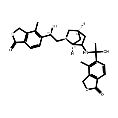 Cc1c([C@@H](O)CN2C[C@H]3CC(NC(C)(O)c4ccc5c(c4C)COC5=O)[C@@H]2C3)ccc2c1COC2=O